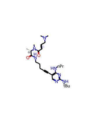 CCCNc1nc(NC(C)(C)C)ncc1C#CCCCNC(=O)[C@H](C)N(C)C(=O)/C=C/CN(C)C